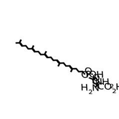 CC(C)=CCC/C(C)=C/CC/C(C)=C/CC/C=C(\C)CC/C=C(\C)CCCOP(=O)(O)CC(=O)CC(N)(N)C(=O)O